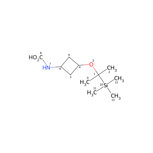 CC(C)(OC1CC(NC(=O)O)C1)[Si](C)(C)C